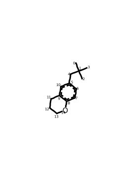 CC(C)(C)Cc1ccc2c(c1)CCCO2